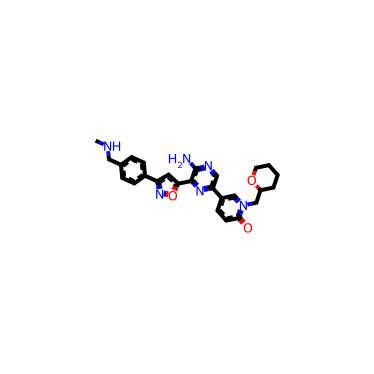 CNCc1ccc(-c2cc(-c3nc(-c4ccc(=O)n(CC5CCCCO5)c4)cnc3N)on2)cc1